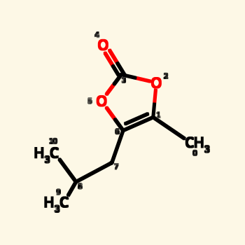 Cc1oc(=O)oc1CC(C)C